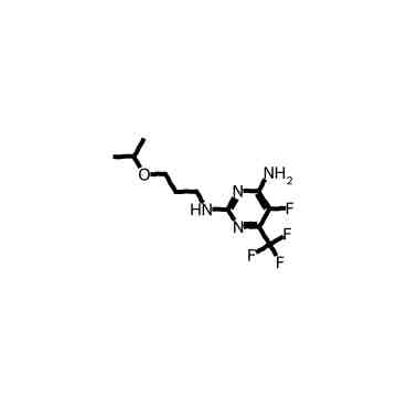 CC(C)OCCCNc1nc(N)c(F)c(C(F)(F)F)n1